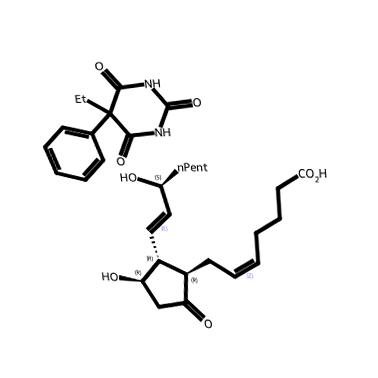 CCC1(c2ccccc2)C(=O)NC(=O)NC1=O.CCCCC[C@H](O)/C=C/[C@H]1[C@H](O)CC(=O)[C@@H]1C/C=C\CCCC(=O)O